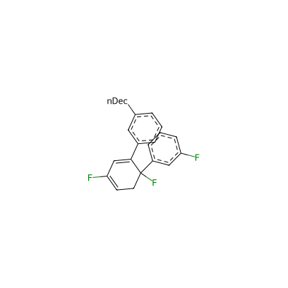 CCCCCCCCCCc1cccc(C2=CC(F)=CCC2(F)c2cccc(F)c2)c1